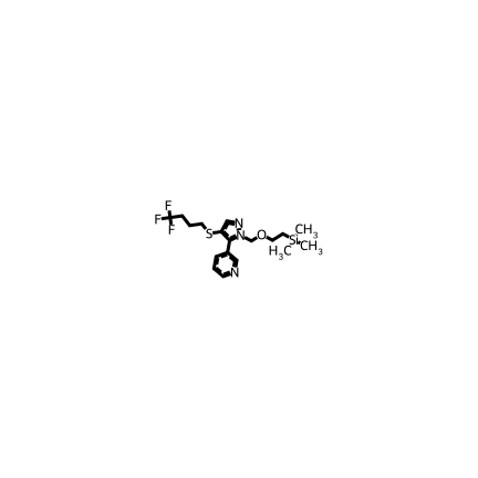 C[Si](C)(C)CCOCn1ncc(SCCCC(F)(F)F)c1-c1cccnc1